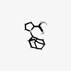 NC(=O)C1CCCN1C1C2CC3CC(C2)CC1C3